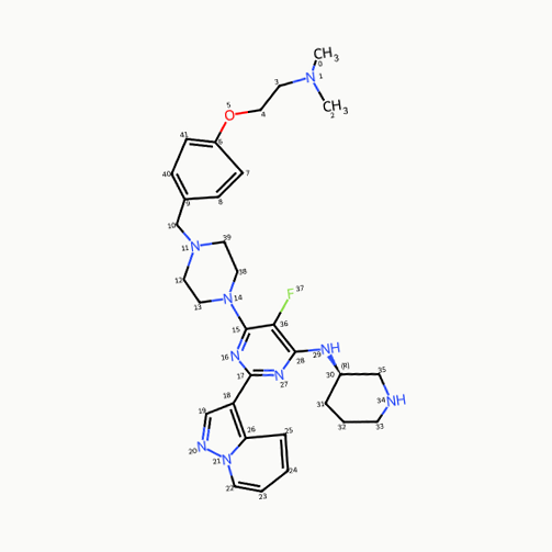 CN(C)CCOc1ccc(CN2CCN(c3nc(-c4cnn5ccccc45)nc(N[C@@H]4CCCNC4)c3F)CC2)cc1